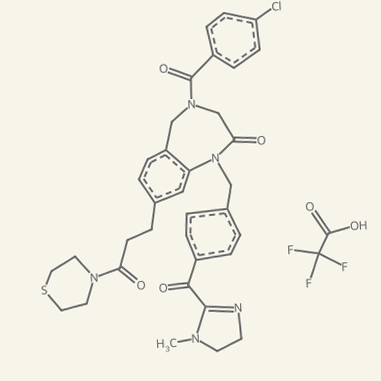 CN1CCN=C1C(=O)c1ccc(CN2C(=O)CN(C(=O)c3ccc(Cl)cc3)Cc3ccc(CCC(=O)N4CCSCC4)cc32)cc1.O=C(O)C(F)(F)F